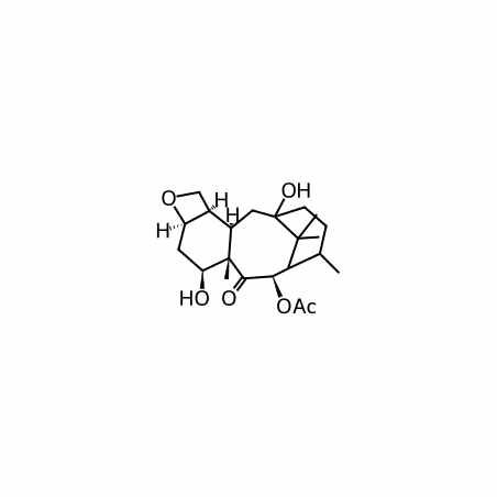 CC(=O)O[C@H]1C(=O)[C@@]2(C)[C@H](CC3(O)CCC(C)C1C3(C)C)[C@@H]1CO[C@@H]1C[C@@H]2O